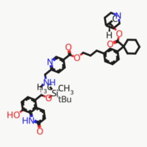 CC(C)(C)[Si](C)(C)O[C@@H](CNCc1ccc(C(=O)OCCCc2cccc(C3(C(=O)O[C@H]4CN5CCC4CC5)CCCCC3)c2)cn1)c1ccc(O)c2[nH]c(=O)ccc12